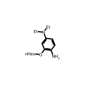 CCCCCCOc1cc(N(CC)CC)ccc1N